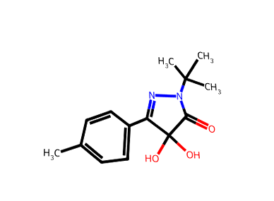 Cc1ccc(C2=NN(C(C)(C)C)C(=O)C2(O)O)cc1